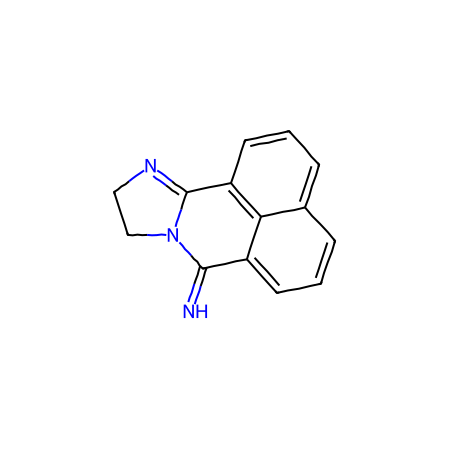 N=c1c2cccc3cccc(c4n1CCN=4)c32